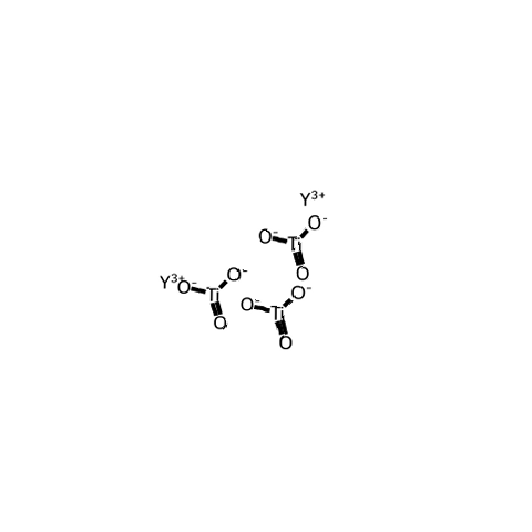 [O]=[Ti]([O-])[O-].[O]=[Ti]([O-])[O-].[O]=[Ti]([O-])[O-].[Y+3].[Y+3]